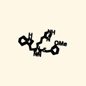 COc1cccc(CSc2nnc(Cc3c[nH]c4ccccc34)n2CCCc2c[nH]cn2)c1